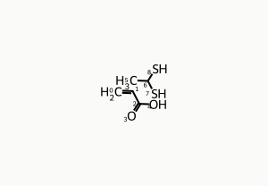 C=CC(=O)O.CC(S)S